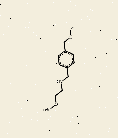 CCCCOCCNCc1ccc(COC(C)C)cc1